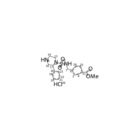 COC(=O)c1ccc(CNS(=O)(=O)N2CCNCC2c2ccccc2)cc1.Cl